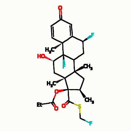 CCC(=O)O[C@]1(C(=O)SCF)[C@H](C)C[C@@]2(C)C3C[C@H](F)C4=CC(=O)C=C[C@]4(C)[C@@]3(F)[C@@H](O)C[C@@]21C